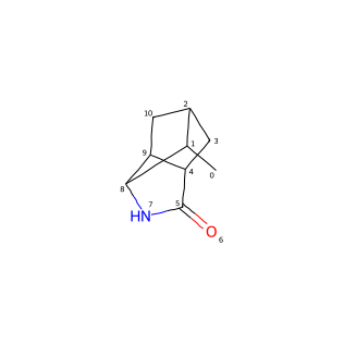 CC1C2CC3C(=O)NC1C3C2